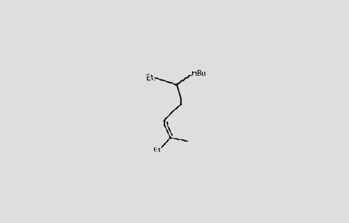 CCCCC(CC)CC=C(C)CC